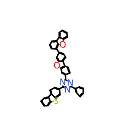 c1ccc(-c2nc(-c3ccc4c(c3)oc3cc(-c5cccc6c5oc5ccccc56)ccc34)nc(-c3ccc4c(c3)sc3ccccc34)n2)cc1